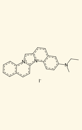 CCN(C)c1ccc2c(ccc3c[n+]4c5ccccc5ccc4n32)c1.[I-]